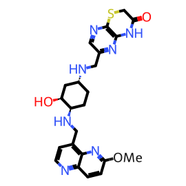 COc1ccc2nccc(CN[C@@H]3CC[C@@H](NCc4cnc5c(n4)NC(=O)CS5)C[C@@H]3O)c2n1